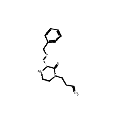 C=CCCN1CCN[C@H](COCc2ccccc2)C1=O